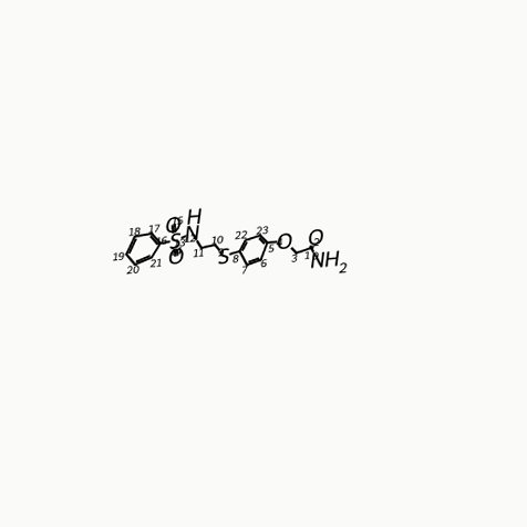 NC(=O)COc1ccc(SCCNS(=O)(=O)c2ccccc2)cc1